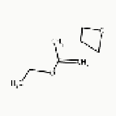 C1COC1.C=C(C)OCC